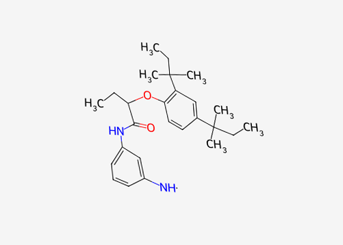 CCC(Oc1ccc(C(C)(C)CC)cc1C(C)(C)CC)C(=O)Nc1cccc([NH])c1